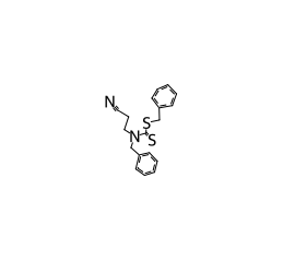 N#CCCN(Cc1ccccc1)C(=S)SCc1ccccc1